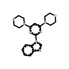 c1ccc2c(c1)ncn2-c1nc(N2CCOCC2)cc(N2CCSCC2)n1